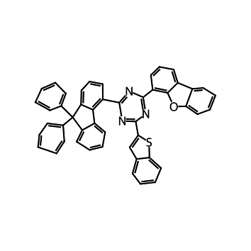 c1ccc(C2(c3ccccc3)c3ccccc3-c3c(-c4nc(-c5cc6ccccc6s5)nc(-c5cccc6c5oc5ccccc56)n4)cccc32)cc1